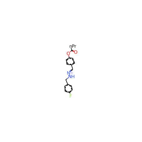 CCCC(=O)Oc1ccc(/C=N/NCc2ccc(F)cc2)cc1